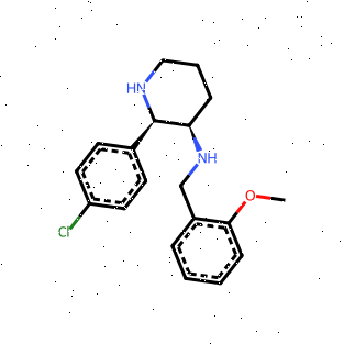 COc1ccccc1CN[C@@H]1CCCN[C@@H]1c1ccc(Cl)cc1